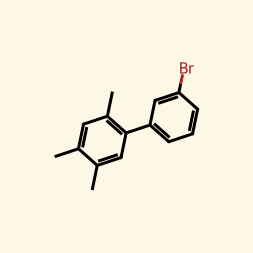 Cc1cc(C)c(-c2cccc(Br)c2)cc1C